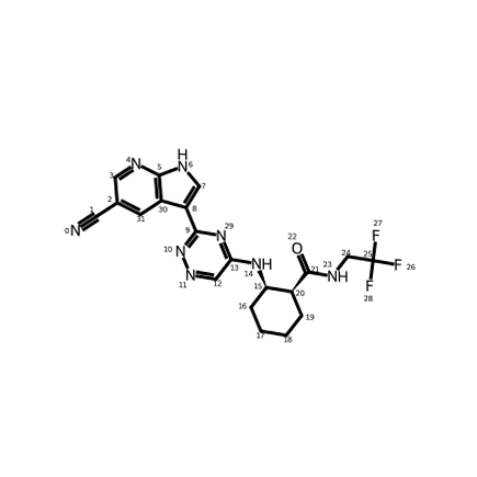 N#Cc1cnc2[nH]cc(-c3nncc(N[C@@H]4CCCC[C@@H]4C(=O)NCC(F)(F)F)n3)c2c1